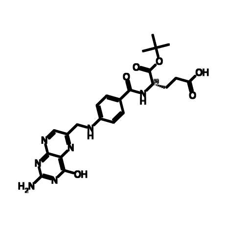 CC(C)(C)OC(=O)[C@H](CCC(=O)O)NC(=O)c1ccc(NCc2cnc3nc(N)nc(O)c3n2)cc1